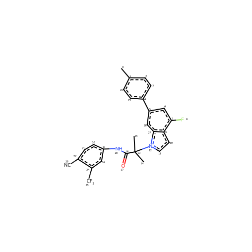 Cc1ccc(-c2cc(F)c3ccn(C(C)(C)C(=O)Nc4ccc(C#N)c(C(F)(F)F)c4)c3c2)cc1